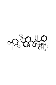 CC(F)(P)C(NC(=O)c1ccc2c3c(ccnc13)N(C1CCC(=O)NC1=O)C2=O)c1ccccc1